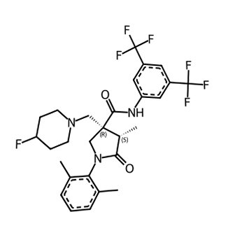 Cc1cccc(C)c1N1C[C@@](CN2CCC(F)CC2)(C(=O)Nc2cc(C(F)(F)F)cc(C(F)(F)F)c2)[C@H](C)C1=O